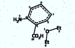 CCOCC.Nc1ccccc1C(=O)O